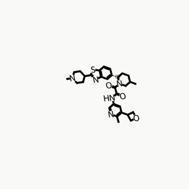 Cc1ncc(NC(=O)C(=O)N2CC(C)CC[C@H]2c2ccc3sc(C4CCN(C)CC4)nc3c2)cc1C1COC1